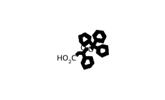 O=C(O)CC(C(=O)OC(c1ccccc1)(c1ccccc1)c1ccccc1)c1ccccc1